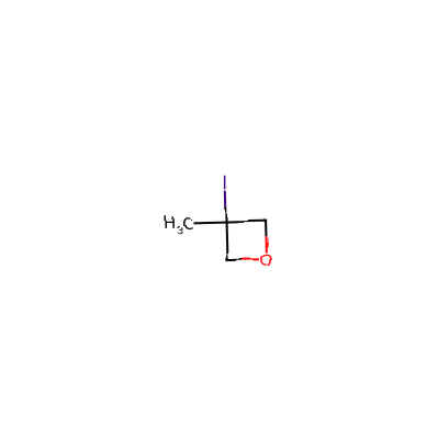 CC1(I)COC1